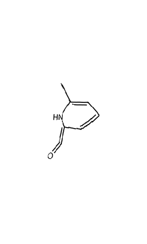 CC1=CC=CC(=C=O)N1